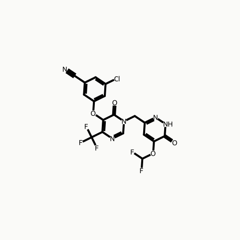 N#Cc1cc(Cl)cc(Oc2c(C(F)(F)F)ncn(Cc3cc(OC(F)F)c(=O)[nH]n3)c2=O)c1